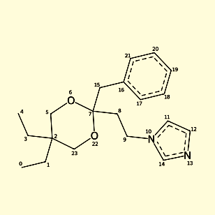 CCC1(CC)COC(CCn2ccnc2)(Cc2ccccc2)OC1